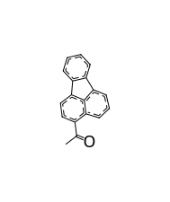 CC(=O)c1ccc2c3c(cccc13)-c1ccccc1-2